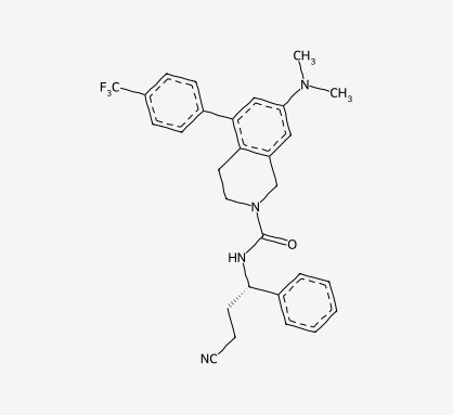 CN(C)c1cc2c(c(-c3ccc(C(F)(F)F)cc3)c1)CCN(C(=O)N[C@@H](CCC#N)c1ccccc1)C2